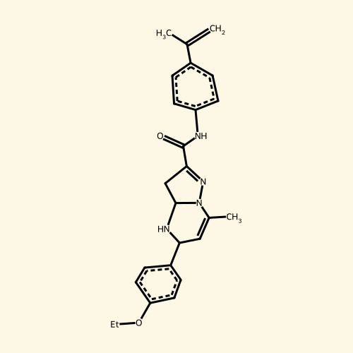 C=C(C)c1ccc(NC(=O)C2=NN3C(C)=CC(c4ccc(OCC)cc4)NC3C2)cc1